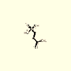 CCC(C)CCP(=O)(O)O